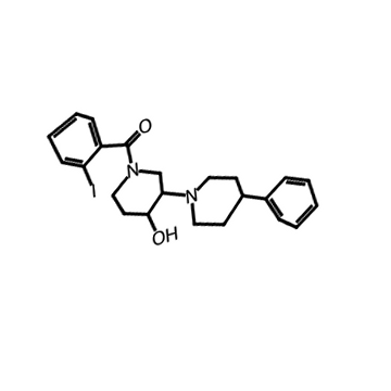 O=C(c1ccccc1I)N1CCC(O)C(N2CCC(c3ccccc3)CC2)C1